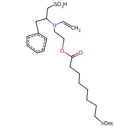 C=CN(CCOC(=O)CCCCCCCCCCCCCCCCC)C(Cc1ccccc1)CS(=O)(=O)O